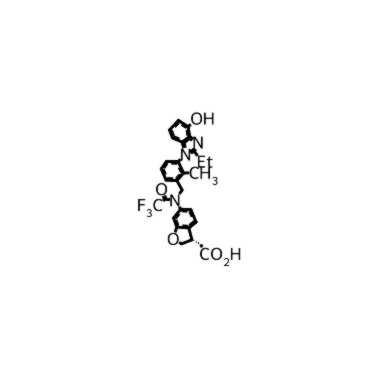 CCc1nc2c(O)cccc2n1-c1cccc(CN(C(=O)C(F)(F)F)c2ccc3c(c2)OC[C@H]3CC(=O)O)c1C